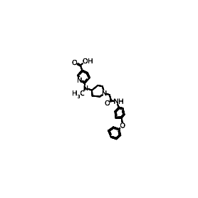 CN(c1ccc(C(=O)O)cn1)C1CCN(CC(=O)Nc2ccc(Oc3ccccc3)cc2)CC1